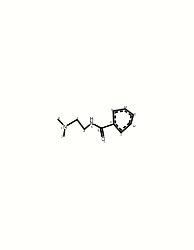 CN(C)CCNC(=O)c1[c]cccc1